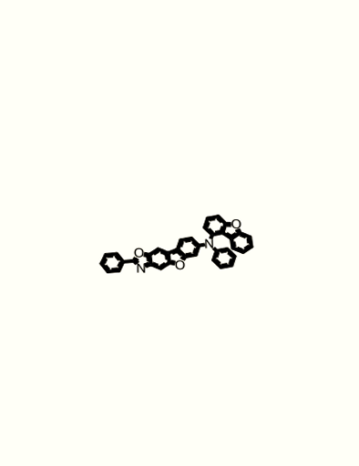 c1ccc(-c2nc3cc4oc5cc(N(c6ccccc6)c6cccc7oc8ccccc8c67)ccc5c4cc3o2)cc1